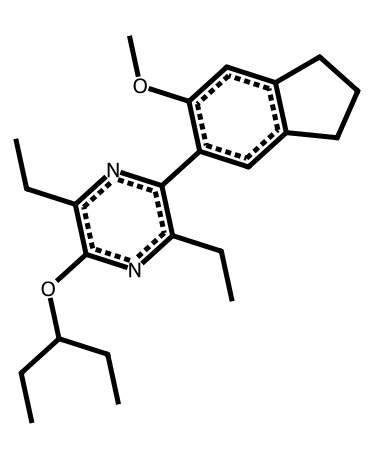 CCc1nc(-c2cc3c(cc2OC)CCC3)c(CC)nc1OC(CC)CC